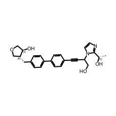 C[C@H](O)c1nccn1C(C#Cc1ccc(-c2ccc(C[C@@H]3COC[C@H]3O)cc2)cc1)CO